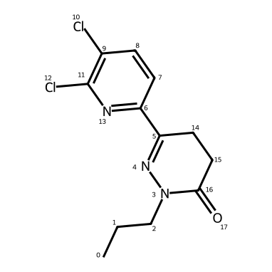 CCCN1N=C(c2ccc(Cl)c(Cl)n2)CCC1=O